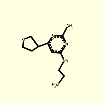 NCCNc1cc(C2CCOC2)nc(N)n1